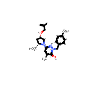 C=C(C)CO[C@H]1C[C@@H](C(=O)O)N(c2cc(C(F)(F)F)c(=O)n(Cc3ccc(OC)cc3)n2)C1